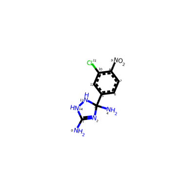 NC1=NC(N)(c2ccc([N+](=O)[O-])c(Cl)c2)NN1